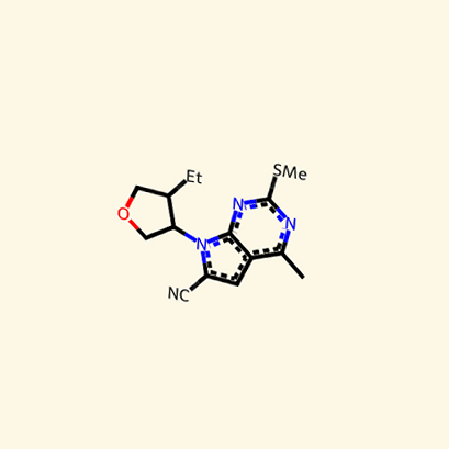 CCC1COCC1n1c(C#N)cc2c(C)nc(SC)nc21